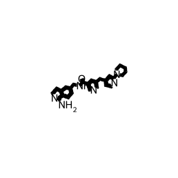 Nc1nccc2cc(CNC(=O)c3cncc(Cc4ccnc(N5CCCCC5)c4)c3)ccc12